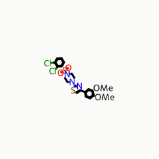 COc1ccc(-c2csc(N3CCN(S(=O)(=O)c4cccc(Cl)c4Cl)CC3)n2)cc1OC